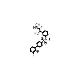 CNCC(O)c1cccc(NS(=O)(=O)c2ccc(-c3cccc(F)c3F)cc2)c1